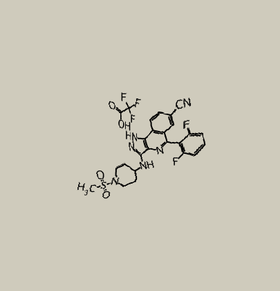 CS(=O)(=O)N1CCC(Nc2n[nH]c3c2nc(-c2c(F)cccc2F)c2cc(C#N)ccc23)CC1.O=C(O)C(F)(F)F